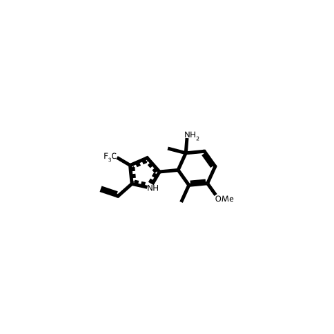 C=Cc1[nH]c(C2C(C)=C(OC)C=CC2(C)N)cc1C(F)(F)F